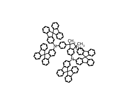 CC1(C)CC(C)(c2ccc(N(c3ccc4c(c3)C3(c5ccccc5-c5ccccc53)c3ccccc3-4)c3ccc4c(c3)C3(c5ccccc5-c5ccccc53)c3ccccc3-4)cc2)c2ccc(N(c3ccc4c(c3)C3(c5ccccc5-c5ccccc53)c3ccccc3-4)c3ccc4c(c3)C3(c5ccccc5-c5ccccc53)c3ccccc3-4)cc21